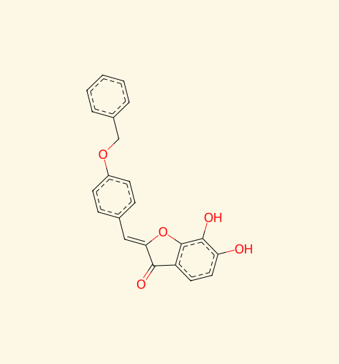 O=C1/C(=C/c2ccc(OCc3ccccc3)cc2)Oc2c1ccc(O)c2O